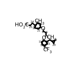 Cc1cc(OCC[C@H](C)Oc2ccc(C(F)(F)F)cc2CC2CC2)ccc1CCC(=O)O